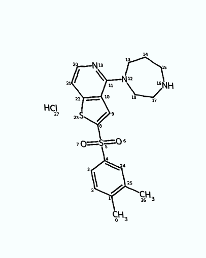 Cc1ccc(S(=O)(=O)c2cc3c(N4CCCNCC4)nccc3s2)cc1C.Cl